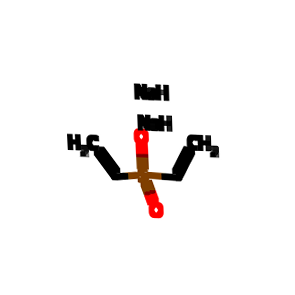 C=CS(=O)(=O)C=C.[NaH].[NaH]